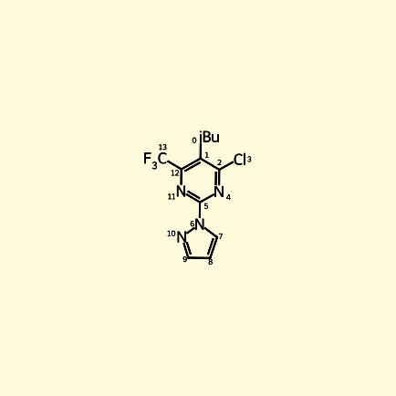 CCC(C)c1c(Cl)nc(-n2cccn2)nc1C(F)(F)F